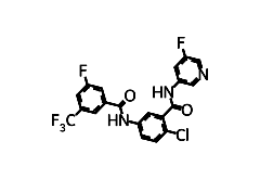 O=C(Nc1ccc(Cl)c(C(=O)Nc2cncc(F)c2)c1)c1cc(F)cc(C(F)(F)F)c1